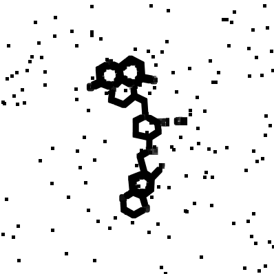 Cl.Cl.O=c1cnc2ccc(=O)n3c2n1CCC3CN1CCC(NCc2cc3c(cc2F)OCCO3)CC1